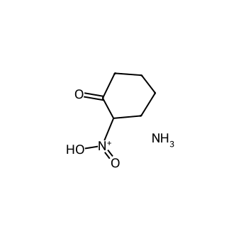 N.O=C1CCCCC1[N+](=O)O